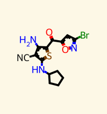 N#Cc1c(NC2CCCC2)sc(C(=O)c2cc(Br)no2)c1N